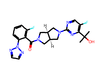 CC(C)(O)c1nc(N2C[C@H]3CN(C(=O)c4c(F)cccc4-n4nccn4)C[C@H]3C2)ncc1F